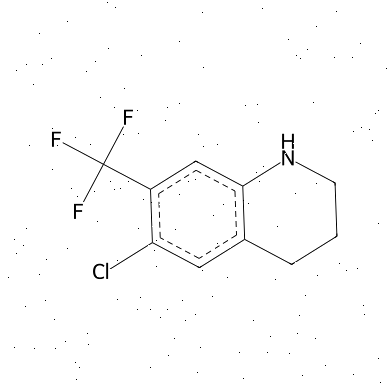 FC(F)(F)c1cc2c(cc1Cl)CCCN2